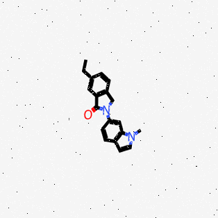 CCc1ccc2c(c1)C(=O)N(c1ccc3ccn(C)c3c1)C2